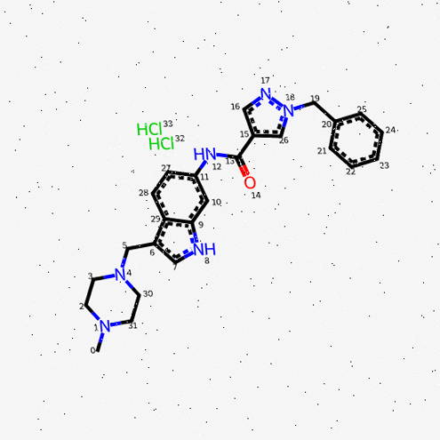 CN1CCN(Cc2c[nH]c3cc(NC(=O)c4cnn(Cc5ccccc5)c4)ccc23)CC1.Cl.Cl